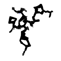 CC(C)CN1CCC(CN(C)Nc2nc(/C(N)=N/O)nc(N[C@H](C)C3CCC3)c2NCc2ccc(SF)cc2)C1